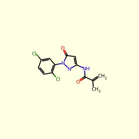 C=C(C)C(=O)NC1=CC(=O)N(c2cc(Cl)ccc2Cl)[N]1